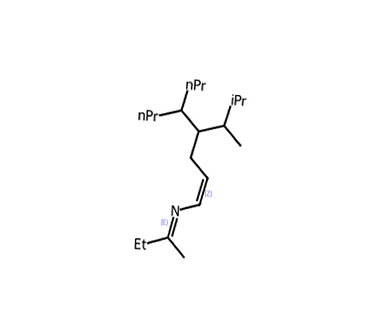 CCCC(CCC)C(C/C=C\N=C(/C)CC)C(C)C(C)C